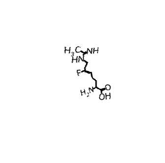 CC(=N)NC/C(F)=C/CCC(N)C(=O)O